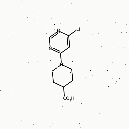 O=C(O)C1CCN(c2cc(Cl)ncn2)CC1